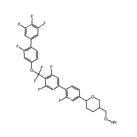 CCCOCC1CCC(c2ccc(-c3cc(F)c(C(F)(F)Oc4ccc(-c5cc(F)c(F)c(F)c5)c(F)c4)c(F)c3)c(F)c2)OC1